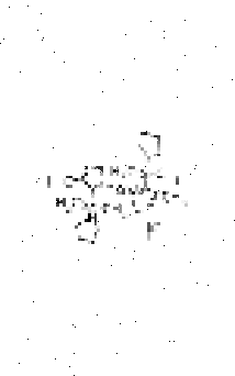 CC1=CC[C]([Zr+2][C]2=C([Si](C)(C)N3CCCC3)C(C)=CC2)=C1[Si](C)(C)N1CCCC1.[F-].[F-]